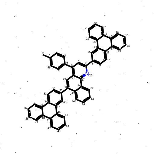 Cc1ccc(-c2cc(-c3ccc4c5ccccc5c5ccccc5c4c3)nc3c2cc(-c2ccc4c5ccccc5c5ccccc5c4c2)c2ccccc23)cc1